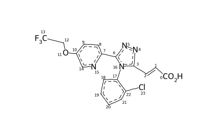 O=C(O)C=Cc1nnc(-c2ccc(OCC(F)(F)F)cn2)n1-c1ccccc1Cl